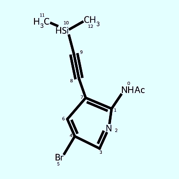 CC(=O)Nc1ncc(Br)cc1C#C[SiH](C)C